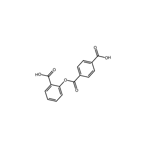 O=C(O)c1ccc(C(=O)Oc2ccccc2C(=O)O)cc1